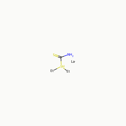 CC[SH](CC)C(N)=S.[La]